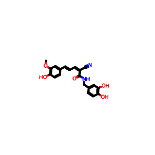 COc1cc(C=CC=C(C#N)C(=O)NCc2ccc(O)c(O)c2)ccc1O